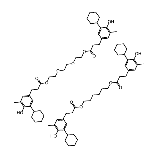 Cc1cc(CCC(=O)OCCCCCCOC(=O)CCc2cc(C)c(O)c(C3CCCCC3)c2)cc(C2CCCCC2)c1O.Cc1cc(CCC(=O)OCCOCCOCCOC(=O)CCc2cc(C)c(O)c(C3CCCCC3)c2)cc(C2CCCCC2)c1O